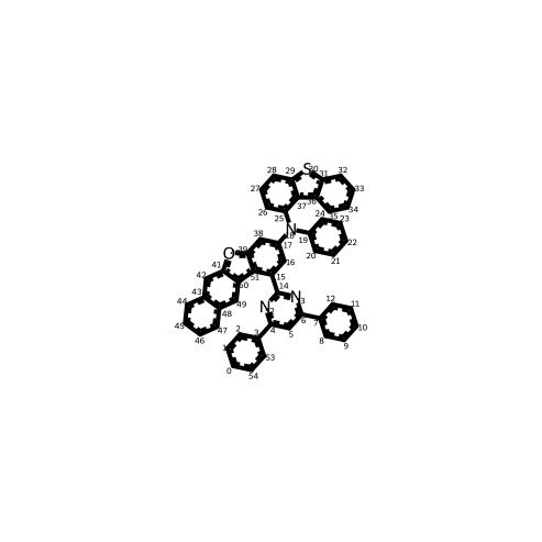 c1ccc(-c2cc(-c3ccccc3)nc(-c3cc(N(c4ccccc4)c4cccc5sc6ccccc6c45)cc4oc5cc6ccccc6cc5c34)n2)cc1